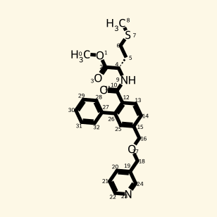 COC(=O)[C@H](CCSC)NC(=O)c1ccc(COCc2cccnc2)cc1-c1ccccc1